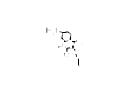 CCCCOc1c(OC)c2ccc(N)cc2n(CC)c1=O